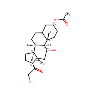 CC(=O)O[C@@H]1CC[C@@]2(C)C(=CC[C@H]3[C@@H]4CC[C@H](C(=O)CO)[C@@]4(C)CC(=O)[C@@H]32)C1